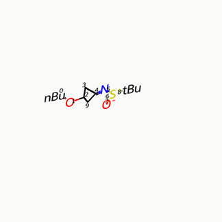 CCCCOC1CC(=N[S+]([O-])C(C)(C)C)C1